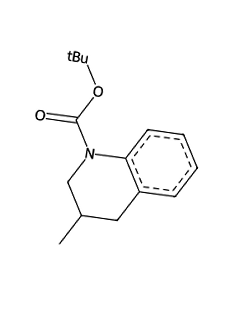 CC1Cc2ccccc2N(C(=O)OC(C)(C)C)C1